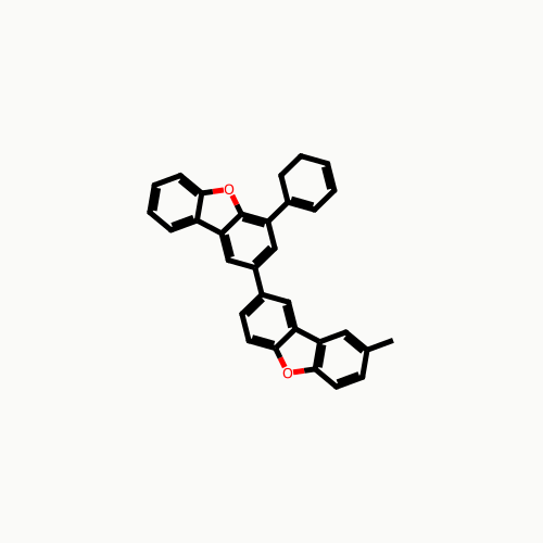 Cc1ccc2oc3ccc(-c4cc(C5=CC=CCC5)c5oc6ccccc6c5c4)cc3c2c1